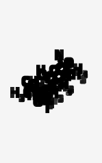 CCC(C)(C)CC[C@@](C)(CC[C@]1(C)CC(=O)C=C2[C@@]3(C)C=C(C#N)C(=O)C(C)(C)[C@@H]3CC[C@]21C)NS(=O)(=O)CC(F)(F)F